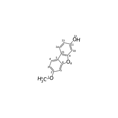 COc1ccc2c(c1)oc1cc(O)ccc12